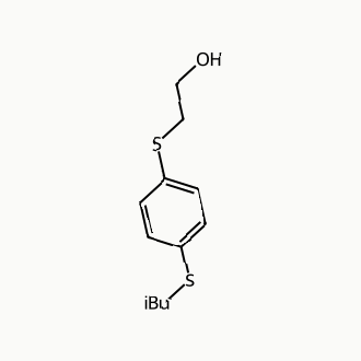 CCC(C)Sc1ccc(SCCO)cc1